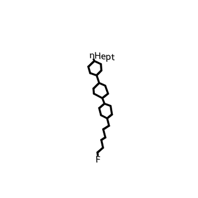 CCCCCCCC1CCC(C2CCC(C3CCC(CCCCCCF)CC3)CC2)CC1